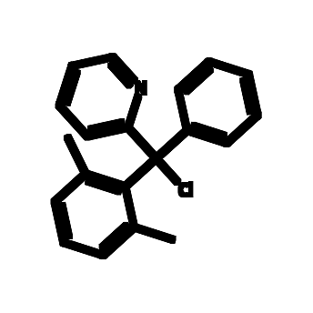 Cc1cccc(C)c1C(Cl)(c1ccccc1)c1ccccn1